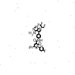 CC(C)c1cc(C(=O)Nc2ccc(-c3cn(C(CF)C(F)F)c4ncnc(N)c34)cc2)c(=O)n(-c2ccc(F)cn2)n1